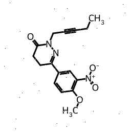 CCC#CCN1N=C(c2ccc(OC)c([N+](=O)[O-])c2)CCC1=O